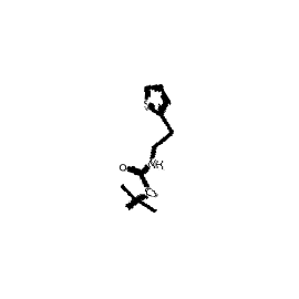 CC(C)(C)OC(=O)NC[CH]c1cccs1